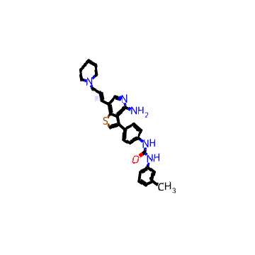 Cc1cccc(NC(=O)Nc2ccc(-c3csc4c(/C=C/CN5CCCCC5)cnc(N)c34)cc2)c1